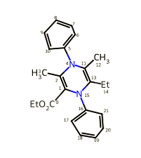 CCOC(=O)C1=C(C)N(c2ccccc2)C(C)=C(CC)N1c1ccccc1